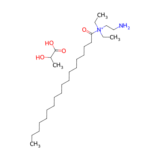 CC(O)C(=O)O.CCCCCCCCCCCCCCCCCC(=O)[N+](CC)(CC)CCN